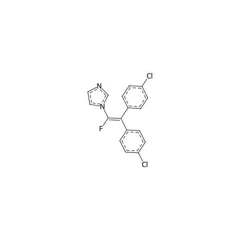 FC(=C(c1ccc(Cl)cc1)c1ccc(Cl)cc1)n1ccnc1